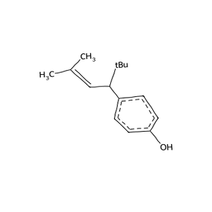 CC(C)=CC(c1ccc(O)cc1)C(C)(C)C